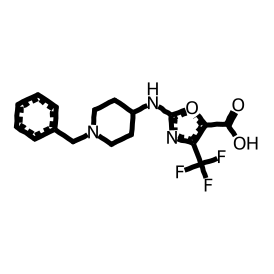 O=C(O)c1oc(NC2CCN(Cc3ccccc3)CC2)nc1C(F)(F)F